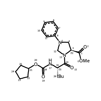 COC(=O)[C@@H]1CN(c2ccccc2)CN1C(=O)[C@@H](NC(=O)OC1CCCC1)C(C)(C)C